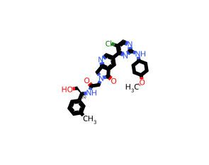 COC1CCC(Nc2ncc(Cl)c(-c3cnc4c(c3)C(=O)N(CC(=O)N[C@H](CO)c3cccc(C)c3)C4)n2)CC1